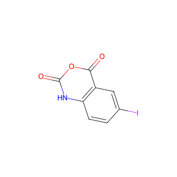 O=c1[nH]c2ccc(I)cc2c(=O)o1